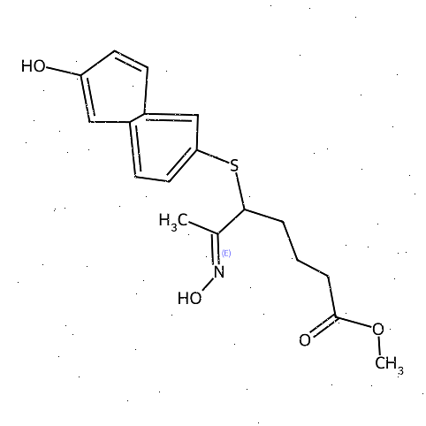 COC(=O)CCCC(Sc1ccc2cc(O)ccc2c1)/C(C)=N/O